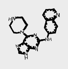 c1cnc2ccc(Nc3nc(N4CCNCC4)c4nc[nH]c4n3)cc2c1